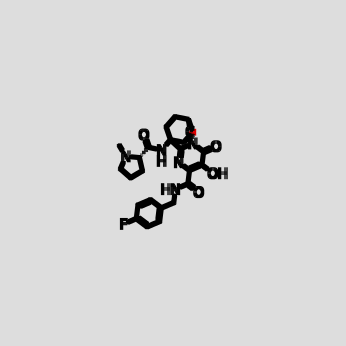 CN1CCC[C@H]1C(=O)NC12CCC(CC1)Cn1c2nc(C(=O)NCc2ccc(F)cc2)c(O)c1=O